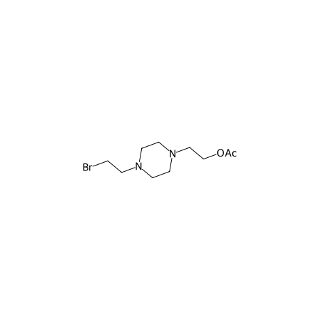 CC(=O)OCCN1CCN(CCBr)CC1